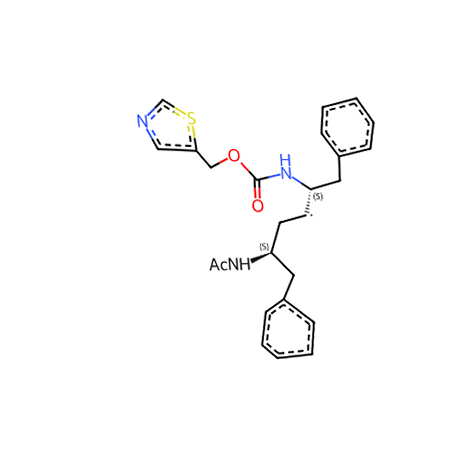 CC(=O)N[C@@H](C[CH][C@@H](Cc1ccccc1)NC(=O)OCc1cncs1)Cc1ccccc1